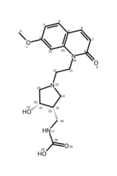 COc1ccc2ccc(=O)n(CCN3C[C@H](CNC(=O)O)[C@H](O)C3)c2c1